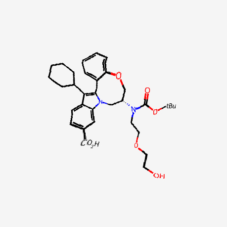 CC(C)(C)OC(=O)N(CCOCCO)[C@H]1COc2ccccc2-c2c(C3CCCCC3)c3ccc(C(=O)O)cc3n2C1